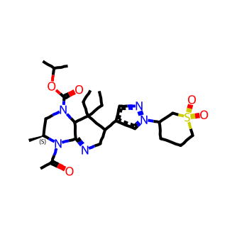 CCC1(CC)C(c2cnn(C3CCCS(=O)(=O)C3)c2)CN=C2C1N(C(=O)OC(C)C)C[C@H](C)N2C(C)=O